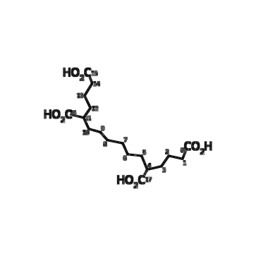 O=C(O)CCCC(CCCCCCC(CCCC(=O)O)C(=O)O)C(=O)O